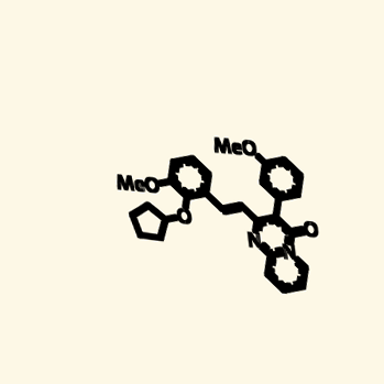 COc1cccc(-c2c(/C=C/c3cccc(OC)c3OC3CCCC3)nc3ccccn3c2=O)c1